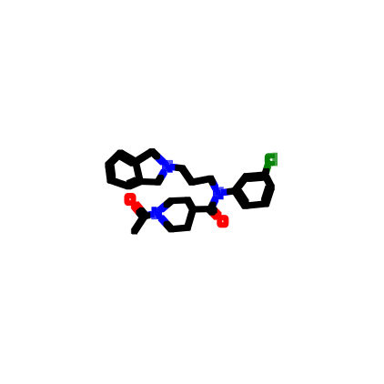 CC(=O)N1CCC(C(=O)N(CCCN2Cc3ccccc3C2)c2cccc(Cl)c2)CC1